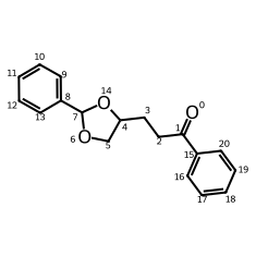 O=C(CCC1COC(c2ccccc2)O1)c1ccccc1